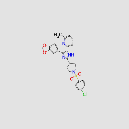 Cc1cccc(-c2[nH]c(C3CCN(S(=O)(=O)c4ccc(Cl)cc4)CC3)nc2-c2ccc3c(c2)OCO3)n1